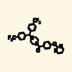 O=C(c1ccc(Oc2ncccn2)cc1)N1CCN(C(c2ccc(C(F)(F)F)cc2)c2ccc(C(F)(F)F)cc2)CC1